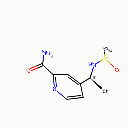 CC[C@H](N[S+]([O-])C(C)(C)C)c1ccnc(C(N)=O)c1